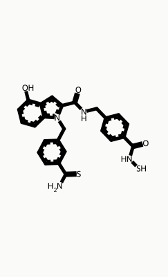 NC(=S)c1cccc(Cn2c(C(=O)NCc3ccc(C(=O)NS)cc3)cc3c(O)cccc32)c1